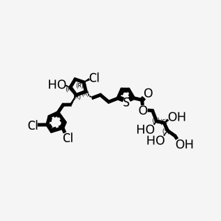 O=C(OC[C@@H](O)[C@@H](O)[C@@H](O)CO)c1ccc(CCC[C@@H]2[C@@H](CCc3cc(Cl)cc(Cl)c3)[C@H](O)C[C@H]2Cl)s1